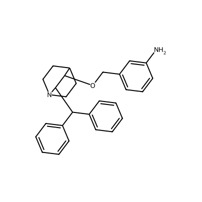 Nc1cccc(COC2C3CCN(CC3)C2C(c2ccccc2)c2ccccc2)c1